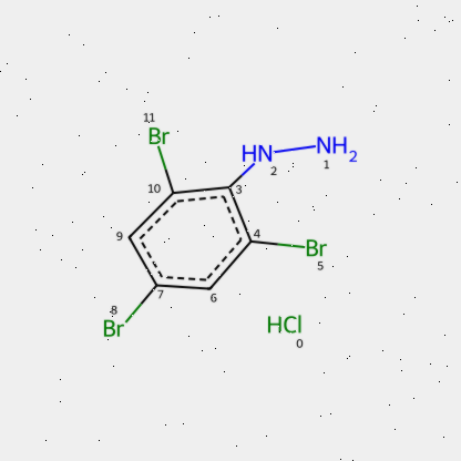 Cl.NNc1c(Br)cc(Br)cc1Br